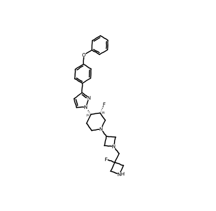 F[C@@H]1CN(C2CN(CC3(F)CNC3)C2)CC[C@@H]1n1ccc(-c2ccc(Oc3ccccc3)cc2)n1